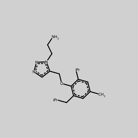 Cc1cc(CC(C)C)c(OCc2cnnn2CCN)c(C(C)C)c1